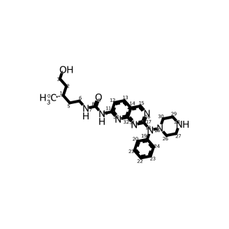 C[C@H](CCO)CCNC(=O)Nc1ccc2cnc(N(c3ccccc3)N3CCNCC3)nc2n1